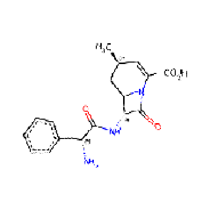 C[C@H]1C=C(C(=O)O)N2C(=O)[C@H](NC(=O)[C@H](N)c3ccccc3)C2C1